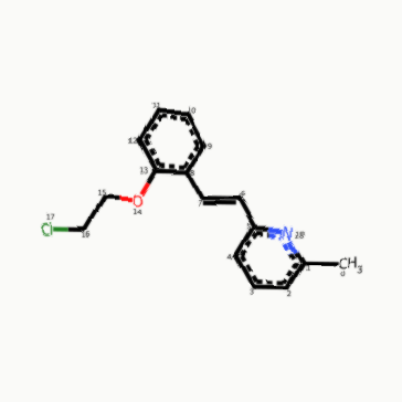 Cc1cccc(/C=C/c2ccccc2OCCCl)n1